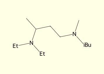 CCC(C)N(C)CCC(C)N(CC)CC